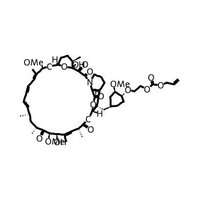 C=CCOC(=O)OCCO[C@@H]1CC[C@@H](C[C@H]2C3CCCN4C(=O)C(=O)[C@]5(O)O[C@@H](CC[C@H]5C)C[C@H](OC)/C(C)=C/C=C/C=C/[C@@H](C)C[C@@H](C)C(=O)[C@H](OC)[C@H](O)/C(C)=C/[C@@H](C)C(=O)C[C@@H]2OC(=O)[C@H]34)C[C@H]1OC